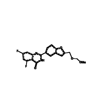 COCOCc1cc2cc(-c3nc4cc(F)cc(F)c4c(=O)[nH]3)ccc2o1